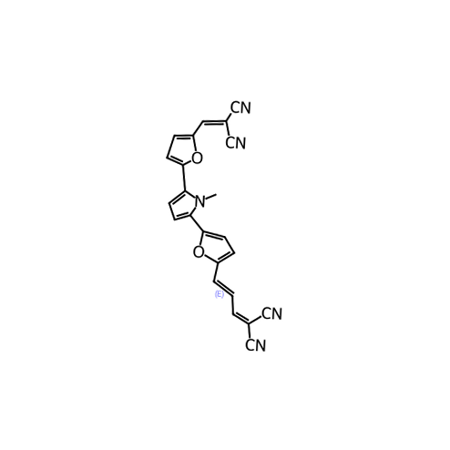 Cn1c(-c2ccc(C=C(C#N)C#N)o2)ccc1-c1ccc(/C=C/C=C(C#N)C#N)o1